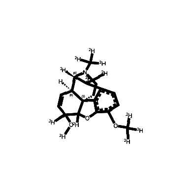 [2H]OC1([2H])C=C[C@@H]2[C@@]34CCN(C([2H])([2H])[2H])[C@]2([2H])C([2H])([2H])c2ccc(OC([2H])([2H])[2H])c(c23)OC14[2H]